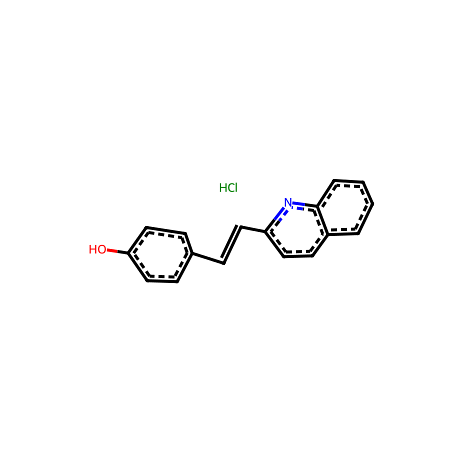 Cl.Oc1ccc(/C=C/c2ccc3ccccc3n2)cc1